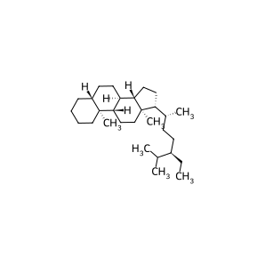 CC[C@H](CC[C@@H](C)[C@H]1CC[C@H]2[C@@H]3CC[C@H]4CCCC[C@]4(C)[C@H]3CC[C@]12C)C(C)C